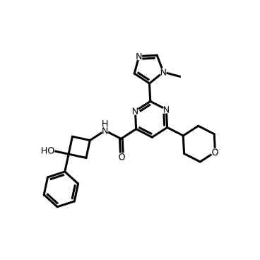 Cn1cncc1-c1nc(C(=O)NC2CC(O)(c3ccccc3)C2)cc(C2CCOCC2)n1